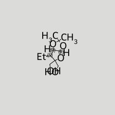 CC[C@H]1[C@H]2OC(C)(C)O[C@H]2OC1(CO)CO